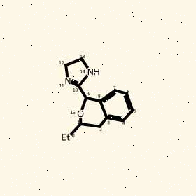 CCC1Cc2ccccc2C(C2=NCCN2)O1